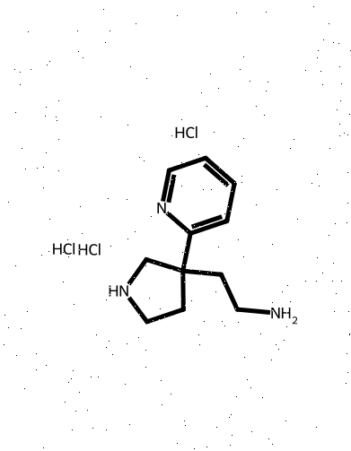 Cl.Cl.Cl.NCCC1(c2ccccn2)CCNC1